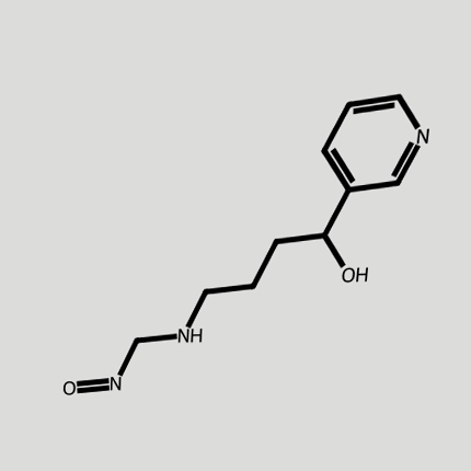 O=NCNCCCC(O)c1cccnc1